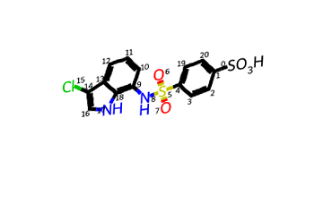 O=S(=O)(O)c1ccc(S(=O)(=O)Nc2cccc3c(Cl)c[nH]c23)cc1